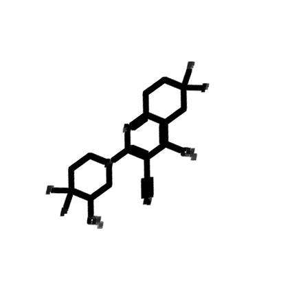 Cc1c(C#N)c(N2CCC(F)(F)C(C)C2)nc2c1CC(F)(F)CC2